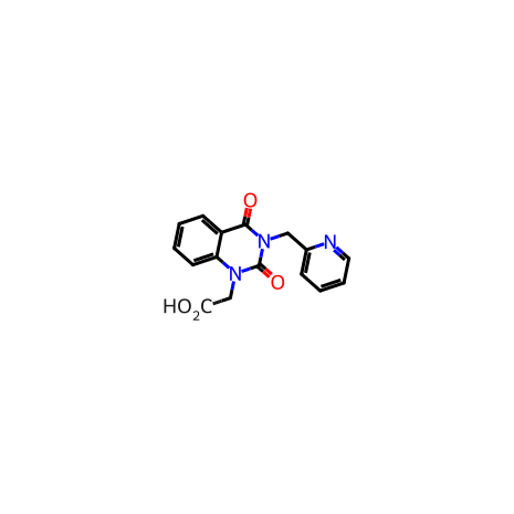 O=C(O)Cn1c(=O)n(Cc2ccccn2)c(=O)c2ccccc21